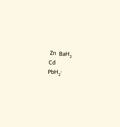 [BaH2].[Cd].[PbH2].[Zn]